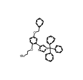 CC(C)(C)CCOc1ccc(OCc2ccccc2)cc1-c1cn(C(c2ccccc2)(c2ccccc2)c2ccccc2)cn1